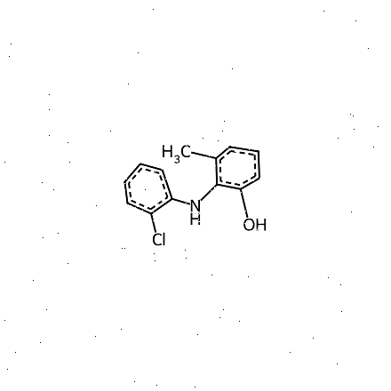 Cc1cccc(O)c1Nc1ccccc1Cl